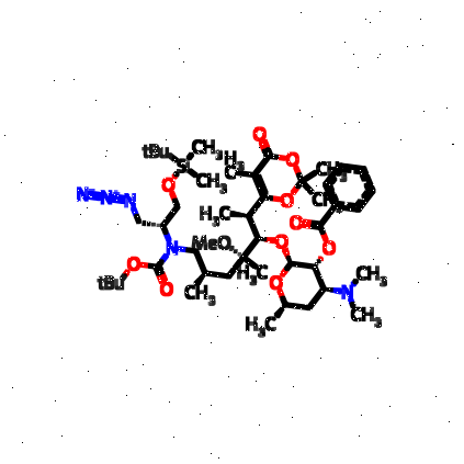 CO[C@](C)(C[C@@H](C)CN(C(=O)OC(C)(C)C)[C@H](CN=[N+]=[N-])CO[Si](C)(C)C(C)(C)C)[C@H](O[C@@H]1O[C@H](C)C[C@H](N(C)C)[C@H]1OC(=O)c1ccccc1)[C@@H](C)C1=C(C)C(=O)OC(C)(C)O1